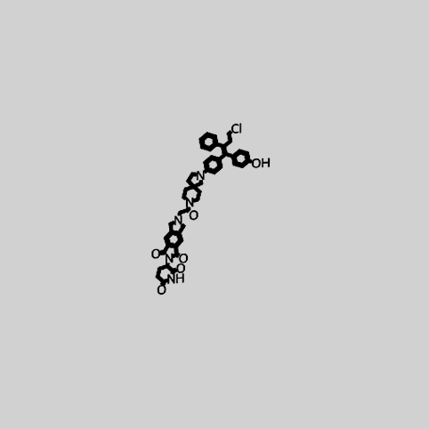 O=C1CCC(N2C(=O)c3cc4c(cc3C2=O)CN(CC(=O)N2CCC3(CC2)CCN(c2ccc(C(=C(CCCl)c5ccccc5)c5ccc(O)cc5)cc2)C3)C4)C(=O)N1